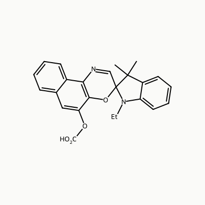 CCN1c2ccccc2C(C)(C)C12C=Nc1c(c(OC(=O)O)cc3ccccc13)O2